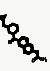 NC(=O)Oc1ccc2cc(C(=O)C3CCCN(CC4CC4)C3)ccc2c1